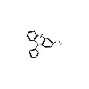 Cc1cc[c]([SnH]([c]2ccccc2)[c]2ccccc2)c(C)c1